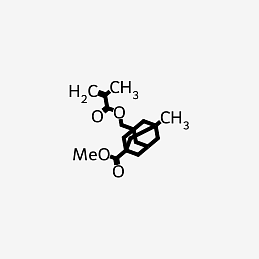 C=C(C)C(=O)OCC12CC3CC(C)(C1)CC(C(=O)OC)(C3)C2